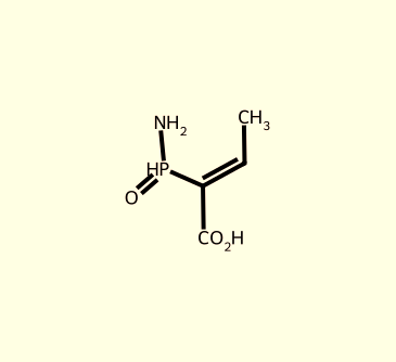 CC=C(C(=O)O)[PH](N)=O